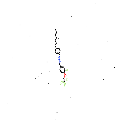 CCCCCCCc1ccc(/C=N/N=C/c2ccc(OCC(F)(F)F)c(F)c2)cc1